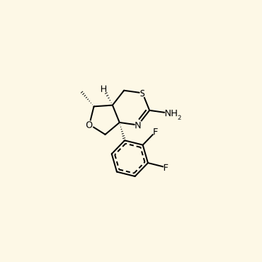 C[C@H]1OC[C@]2(c3cccc(F)c3F)N=C(N)SC[C@H]12